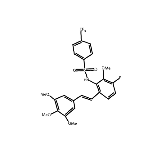 COc1cc(C=Cc2ccc(F)c(OC)c2NS(=O)(=O)c2ccc(C(F)(F)F)cc2)cc(OC)c1OC